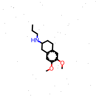 CCCNC1CCc2cc(OC)c(OC)cc2C1